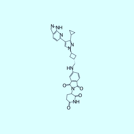 O=C1CCC(N2C(=O)c3ccc(NC[C@H]4C[C@H](n5cc(-c6ccc7cn[nH]c7n6)c(C6CC6)n5)C4)cc3C2=O)C(=O)N1